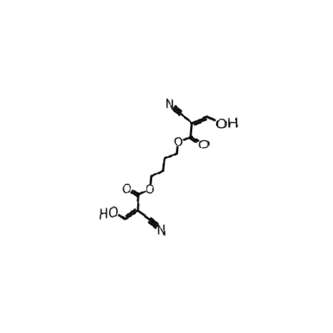 N#C/C(=C/O)C(=O)OCCCCOC(=O)/C(C#N)=C\O